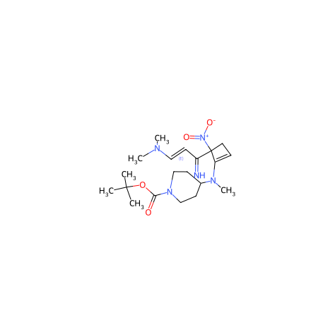 CN(C)/C=C/C(=N)C1([N+](=O)[O-])CC=C1N(C)C1CCN(C(=O)OC(C)(C)C)CC1